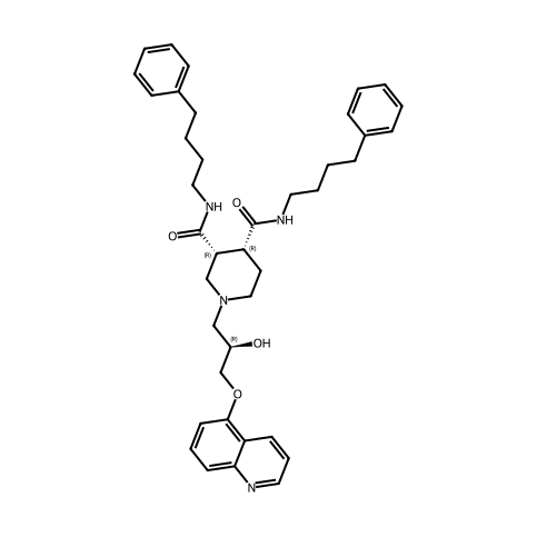 O=C(NCCCCc1ccccc1)[C@H]1CN(C[C@@H](O)COc2cccc3ncccc23)CC[C@H]1C(=O)NCCCCc1ccccc1